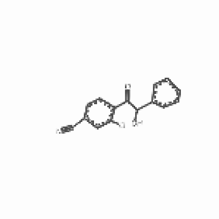 N#Cc1ccc(C(=O)C(O)c2ccccc2)c(Cl)c1